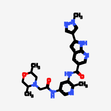 Cc1ncc(NC(=O)CN2CC(C)OCC2C)cc1NC(=O)c1cnc2[nH]c(-c3cnn(C)c3)cc2c1